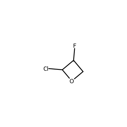 F[C]1COC1Cl